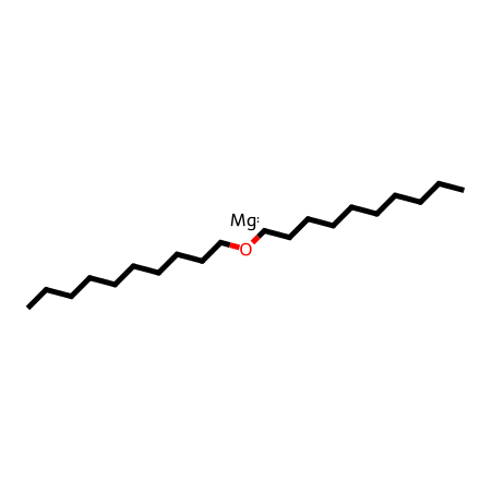 CCCCCCCCCCOCCCCCCCCCC.[Mg]